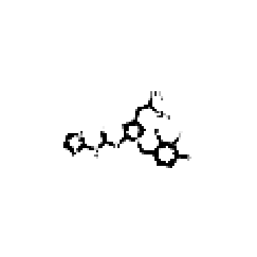 CC(C)Cc1cc(OC(=O)Nc2nccs2)n(Cc2ccc(F)c(F)c2F)c1